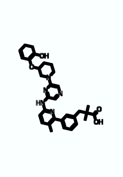 Cc1ccc(Nc2cncc(N3CCCC(OC4=C(O)CCC=C4)C3)n2)nc1-c1cccc(CC(C)(C)C(=O)O)c1